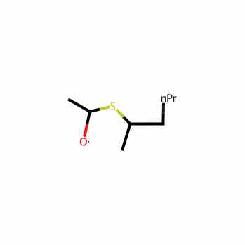 CCCCC(C)SC(C)[O]